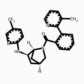 Cc1cccnc1-c1ccccc1C(=O)N1C[C@H]2C[C@@H](Nc3ccc(C(F)(F)F)cn3)[C@@H]1C2